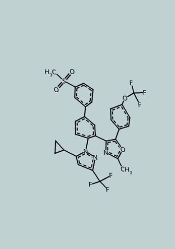 Cc1nc(-c2cc(-c3cccc(S(C)(=O)=O)c3)ccc2-n2nc(C(F)(F)F)cc2C2CC2)c(-c2ccc(OC(F)(F)F)cc2)o1